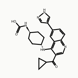 O=C(O)N[C@H]1CC[C@H](Nc2c(C(=O)C3CC3)cnc3ccc(-c4cn[nH]c4)cc23)CC1